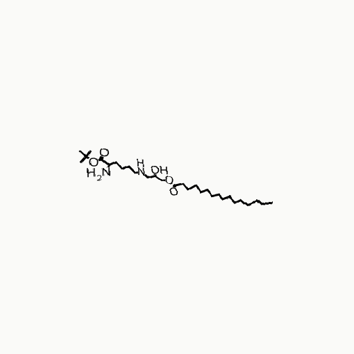 CCCCCCCCCCCCCCCC(=O)OCC(O)CNCCCCC(N)C(=O)OC(C)(C)C